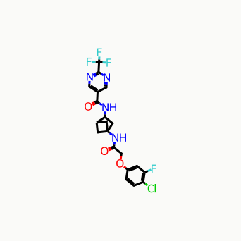 O=C(COc1ccc(Cl)c(F)c1)NC12CC(C1)C(NC(=O)c1cnc(C(F)(F)F)nc1)C2